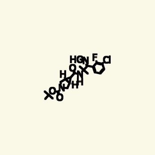 CC(C)(C)OC(=O)N1C[C@@H]2C(C(=O)NC(C)(C)/C(=N\O)c3cccc(Cl)c3F)[C@@H]2C1